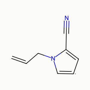 C=CCn1c[c]cc1C#N